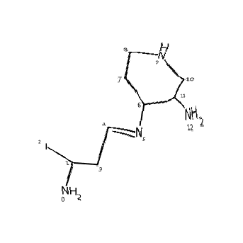 NC(I)C/C=N/C1CCNCC1N